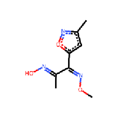 CON=C(C(C)=NO)c1cc(C)no1